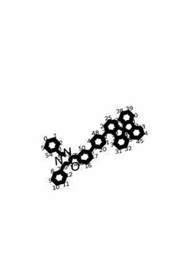 c1ccc(-c2nc(-c3ccccc3)c3oc4ccc(-c5ccc(-c6cccc7c6-c6ccccc6C76c7ccccc7-c7ccccc76)cc5)cc4c3n2)cc1